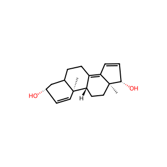 C[C@]12CC[C@H]3C(=C1C=C[C@@H]2O)CCC1C[C@@H](O)C=C[C@@]13C